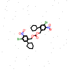 O=C(OCc1cc([N+](=O)[O-])c(Br)cc1C1CCCCC1)OCc1cc([N+](=O)[O-])c(Br)cc1C1CCCCC1